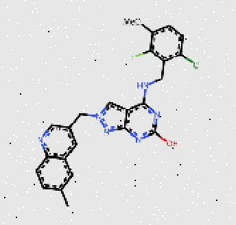 COc1ccc(Cl)c(CNc2nc(O)nc3nn(Cc4cnc5ccc(C)cc5c4)cc23)c1F